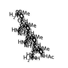 COc1ccc(NC(=O)[C@H](CCCNC(=N)N)NC(=O)c2cc(NC(=O)[C@H](CCCNC(=N)N)NC(=O)c3cc(NC(=O)[C@H](CCCCNC(=N)N)NC(=O)c4cc(NC(C)=O)ccc4OC)ccc3OC)ccc2OC)cc1C(N)=O